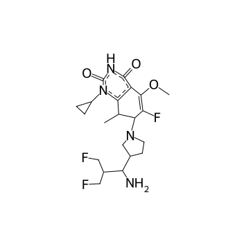 COC1=C(F)C(N2CCC(C(N)C(CF)CF)C2)C(C)c2c1c(=O)[nH]c(=O)n2C1CC1